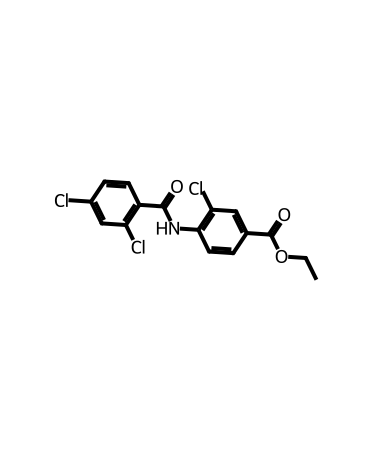 CCOC(=O)c1ccc(NC(=O)c2ccc(Cl)cc2Cl)c(Cl)c1